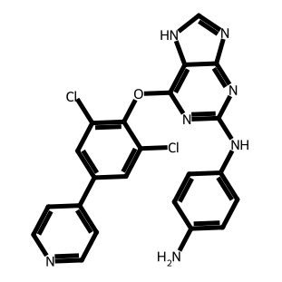 Nc1ccc(Nc2nc(Oc3c(Cl)cc(-c4ccncc4)cc3Cl)c3[nH]cnc3n2)cc1